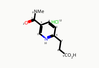 CNC(=O)c1ccc(CCC(=O)O)nc1.Cl